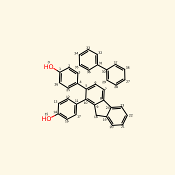 Oc1ccc(-c2ccc3c(c2-c2ccc(O)cc2)Cc2ccccc2-3)cc1.c1ccc(-c2ccccc2)cc1